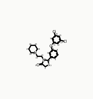 O=C1CSC(c2cccc(Oc3cc(Cl)cc(Cl)c3)c2)N1CCN1CCCCC1